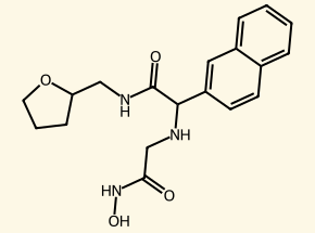 O=C(CNC(C(=O)NCC1CCCO1)c1ccc2ccccc2c1)NO